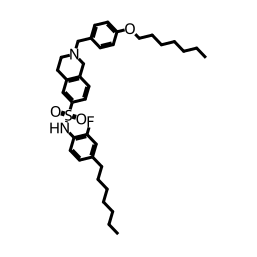 CCCCCCCOc1ccc(CN2CCc3cc(S(=O)(=O)Nc4ccc(CCCCCCC)cc4F)ccc3C2)cc1